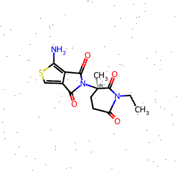 CCN1C(=O)CC[C@@](C)(N2C(=O)c3csc(N)c3C2=O)C1=O